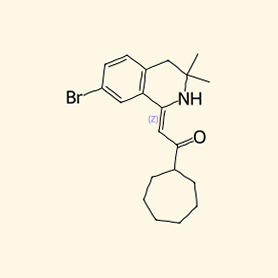 CC1(C)Cc2ccc(Br)cc2/C(=C/C(=O)C2CCCCCC2)N1